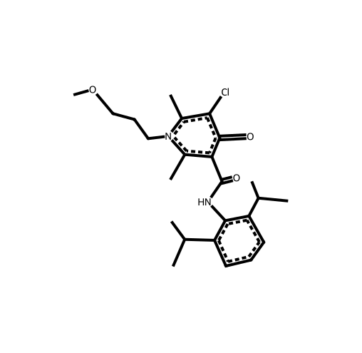 COCCCn1c(C)c(Cl)c(=O)c(C(=O)Nc2c(C(C)C)cccc2C(C)C)c1C